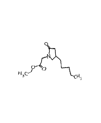 CCCCCC1CC(=O)N(CC(=O)OCC)C1